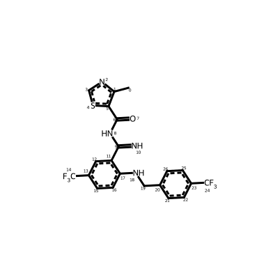 Cc1ncsc1C(=O)NC(=N)c1cc(C(F)(F)F)ccc1NCc1ccc(C(F)(F)F)cc1